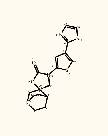 O=C1O[C@]2(CN3CCC2CC3)CN1c1cc(-c2nccs2)cs1